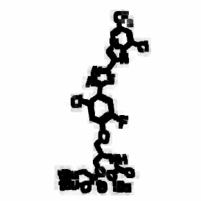 CC(C)(C)CP(=O)(OCC(COc1cc(Cl)c(-c2nnc(-c3cn4cc(C(F)(F)F)cc(Cl)c4n3)s2)cc1F)NC(=O)OC(C)(C)C)OC(C)(C)C